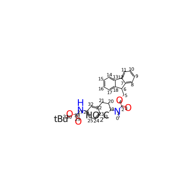 CN(C(=O)OCC1c2ccccc2-c2ccccc21)[C@@H](CCc1cccc(NC(=O)OC(C)(C)C)c1)C(=O)O